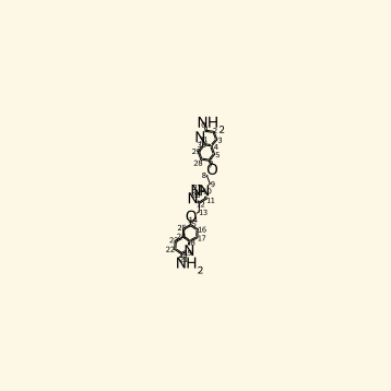 Nc1ccc2cc(OCCn3cc(COc4ccc5nc(N)ccc5c4)nn3)ccc2n1